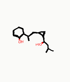 CC(C)CC(O)C1CC1CC(C)C1CCCCC1O